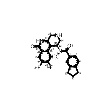 CN(C(=O)c1ccc2c(c1)CCC2)[C@@H]1CNCc2[nH]c(=O)c3cc(F)c(F)cc3c21